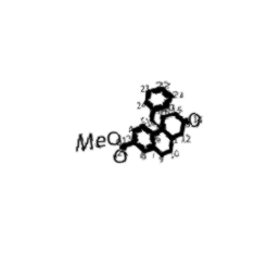 COC(=O)c1ccc2c(c1)CCC1CC(=O)CC[C@@]21Cc1ccccc1